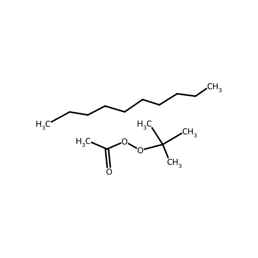 CC(=O)OOC(C)(C)C.CCCCCCCCCC